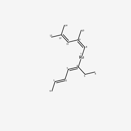 C/C=C/C=[C](\CC)[Ru]/[CH]=C(/C)C=C(C)C